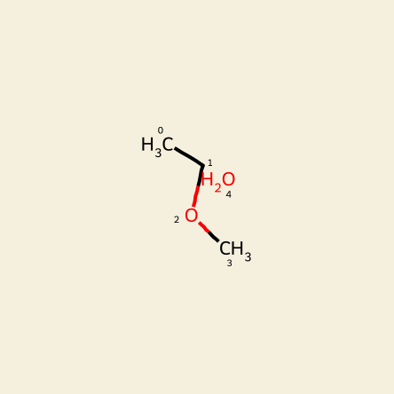 CCOC.O